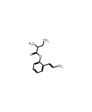 CC=Cc1ccccc1OC(=O)C(C)CC